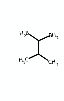 BC(B)C(C)C